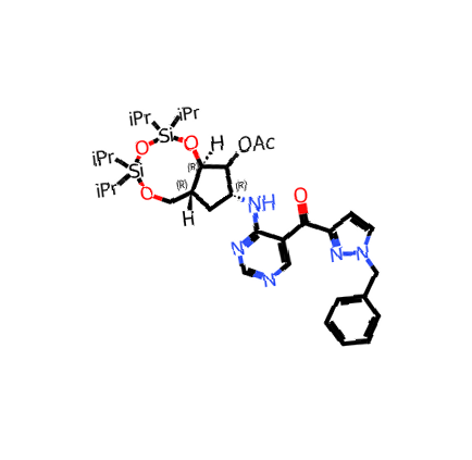 CC(=O)OC1[C@H](Nc2ncncc2C(=O)c2ccn(Cc3ccccc3)n2)C[C@@H]2CO[Si](C(C)C)(C(C)C)O[Si](C(C)C)(C(C)C)O[C@@H]12